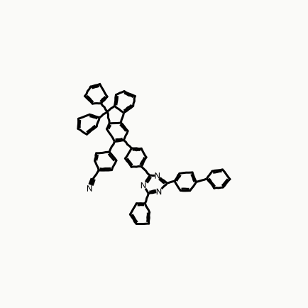 N#Cc1ccc(-c2cc3c(cc2-c2ccc(-c4nc(-c5ccccc5)nc(-c5ccc(-c6ccccc6)cc5)n4)cc2)-c2ccccc2C3(c2ccccc2)c2ccccc2)cc1